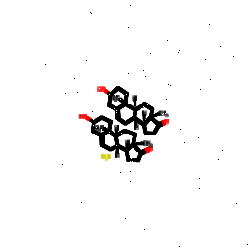 C[C@]12CC[C@H](O)CC1=CC[C@@H]1[C@@H]2CC[C@]2(C)C(=O)CC[C@@H]12.C[C@]12CC[C@H](O)CC1=CC[C@@H]1[C@@H]2CC[C@]2(C)C(=O)CC[C@@H]12.S